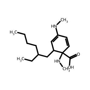 CCCCC(CC)CC1C=C(NC)C=CC1(NC)C(=O)O